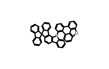 c1ccc2c(c1)-c1ccccc1C21c2ccccc2-c2c1ccc1c3ccccc3n(-c3cccc4c5cccc6oc7cccc(c34)c7c65)c21